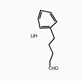 O=CCCCCc1ccccc1.[LiH]